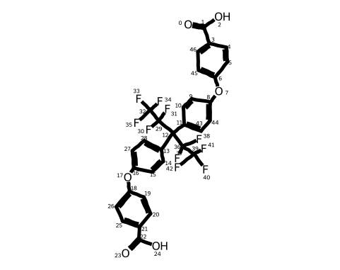 O=C(O)c1ccc(Oc2ccc(C(c3ccc(Oc4ccc(C(=O)O)cc4)cc3)(C(F)(F)C(F)(F)F)C(F)(F)C(F)(F)F)cc2)cc1